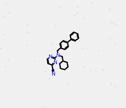 N#Cc1ccnc(N(Cc2ccc(-c3ccccc3)cc2)CC2CCCCC2)n1